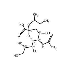 CCC(C)O[C@@]1(C(=O)O)C[C@H](O)[C@@H](NC(C)=O)[C@H]([C@H](O)[C@H](O)CO)O1